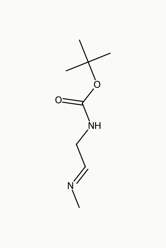 CN=CCNC(=O)OC(C)(C)C